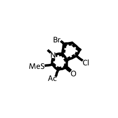 CSc1c(C(C)=O)c(=O)c2c(Cl)ccc(Br)c2n1C